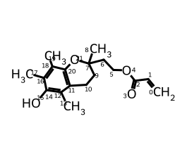 C=CC(=O)OCCC1(C)CCc2c(C)c(O)c(C)c(C)c2O1